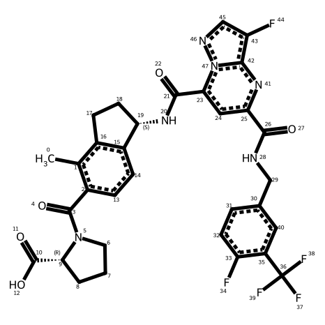 Cc1c(C(=O)N2CCC[C@@H]2C(=O)O)ccc2c1CC[C@@H]2NC(=O)c1cc(C(=O)NCc2ccc(F)c(C(F)(F)F)c2)nc2c(F)cnn12